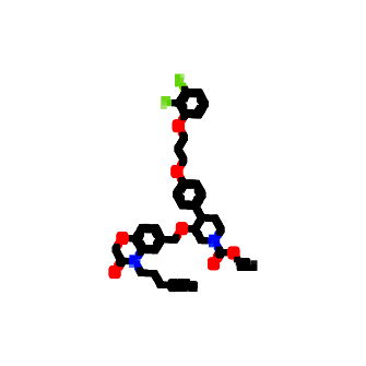 COCCCN1C(=O)COc2ccc(COC3CN(C(=O)OC(C)(C)C)CCC3c3ccc(OCCCOc4cccc(F)c4F)cc3)cc21